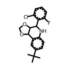 CC(C)(C)c1ccc2c(c1)C1OCOC1C(c1c(F)cccc1Cl)N2